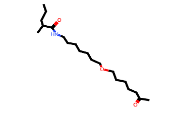 CCCC(C)C(=O)NCCCCCCCOCCCCCC(C)=O